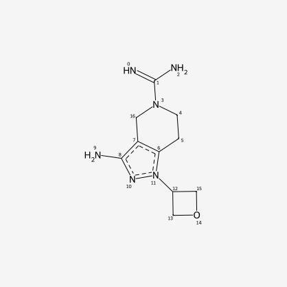 N=C(N)N1CCc2c(c(N)nn2C2COC2)C1